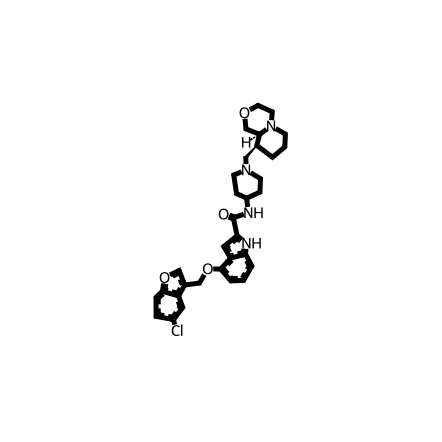 O=C(NC1CCN(C[C@@H]2CCCN3CCOC[C@H]23)CC1)c1cc2c(OCc3coc4ccc(Cl)cc34)cccc2[nH]1